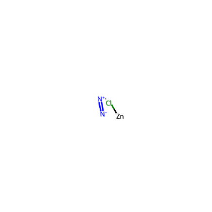 [Cl][Zn].[N+]=[N-]